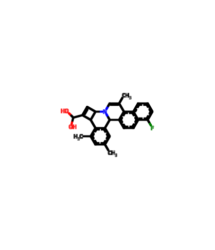 CC1=CN2C(c3cc(C)cc(C)c3C3C(C(O)O)=CC32)c2ccc3c(F)cccc3c21